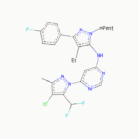 CCCCCn1nc(-c2ccc(F)cc2)c(CC)c1Nc1cc(-n2nc(C)c(Cl)c2C(F)F)ncn1